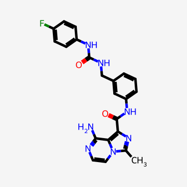 Cc1nc(C(=O)Nc2cccc(CNC(=O)Nc3ccc(F)cc3)c2)c2c(N)nccn12